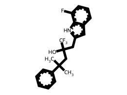 CC(C)(CC(O)(Cc1cc2cccc(F)c2[nH]1)C(F)(F)F)c1ccccc1